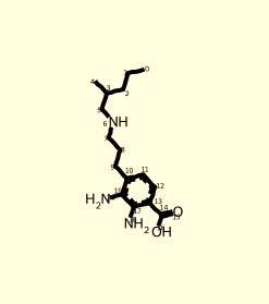 CCCC(C)CNCCCc1ccc(C(=O)O)c(N)c1N